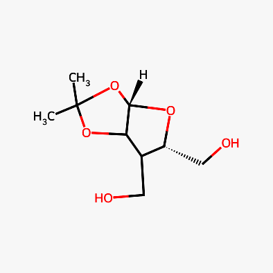 CC1(C)OC2C(CO)[C@@H](CO)O[C@H]2O1